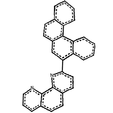 c1ccc2c(c1)ccc1cc(-c3ccc4ccc5cccnc5c4n3)c3ccccc3c12